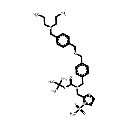 CCCN(CCC)Cc1ccc(COCc2ccc(CN(Cc3nccn3S(C)(=O)=O)C(=O)OC(C)(C)C)cc2)cc1